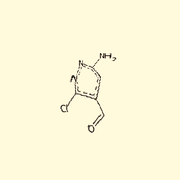 Nc1cc(C=O)c(Cl)nn1